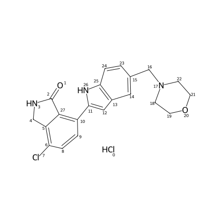 Cl.O=C1NCc2c(Cl)ccc(-c3cc4cc(CN5CCOCC5)ccc4[nH]3)c21